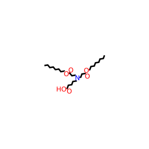 CCCCCCCCOC(=O)CCN(CCCCC(=O)O)CCC(=O)OCCCCCCCC